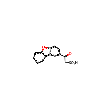 O=C(CS(=O)(=O)O)c1ccc2oc3ccccc3c2c1